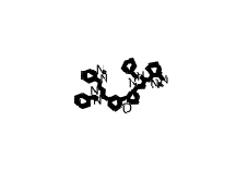 c1ccc(-c2nc(-c3ccc4oc5ccc(-c6cc(-c7ncnc8ccccc78)nc(-c7ccccc7)n6)cc5c4c3)cc(-c3ncnc4ccccc34)n2)cc1